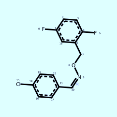 Fc1ccc(F)c(CO/N=[C]\c2ccc(Cl)cc2)c1